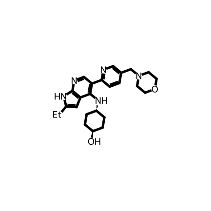 CCc1cc2c(N[C@H]3CC[C@H](O)CC3)c(-c3ccc(CN4CCOCC4)cn3)cnc2[nH]1